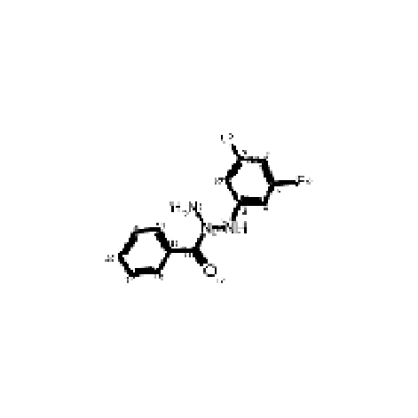 NN(Nc1cc(F)cc(F)c1)C(=O)c1ccccc1